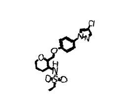 CCS(=O)(=O)NC1CCCOC1COc1ccc(-n2cc(Cl)cn2)cc1